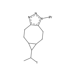 CC(I)C1C2CCc3nnn(C(C)C)c3CCC21